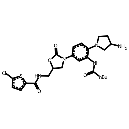 CCCCC(=O)Nc1cc(N2CC(CNC(=O)c3ccc(Cl)s3)OC2=O)ccc1N1CCC(N)C1